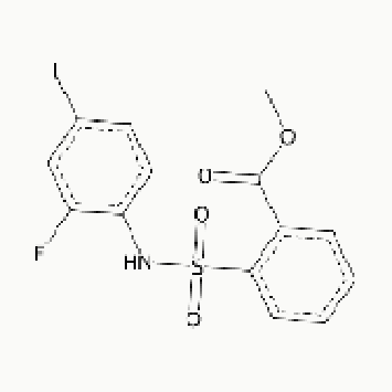 COC(=O)c1ccccc1S(=O)(=O)Nc1ccc(I)cc1F